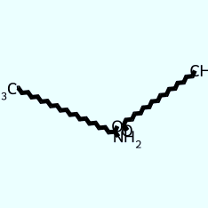 CCCCCCCCCCCCCCCCCCCCCC(N)OC(=O)CCCCCCCCCCCCCCCCC